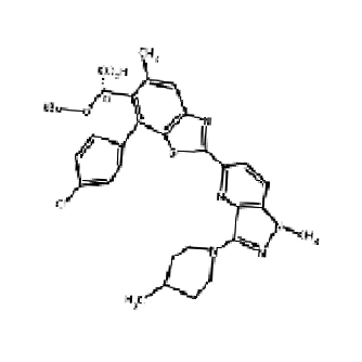 Cc1cc2nc(-c3ccc4c(n3)c(N3CCC(C)CC3)nn4C)sc2c(-c2ccc(Cl)cc2)c1[C@H](OC(C)(C)C)C(=O)O